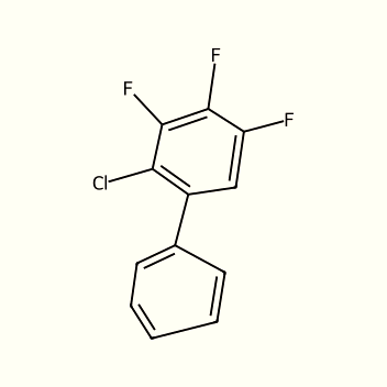 Fc1cc(-c2ccccc2)c(Cl)c(F)c1F